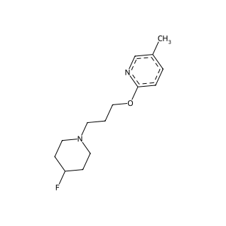 Cc1ccc(OCCCN2CCC(F)CC2)nc1